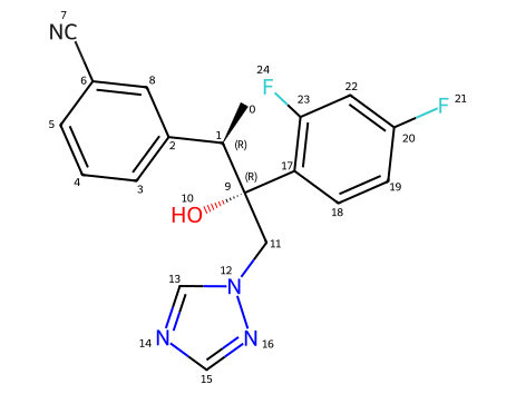 C[C@H](c1cccc(C#N)c1)[C@](O)(Cn1cncn1)c1ccc(F)cc1F